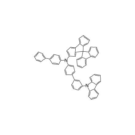 c1ccc(-c2ccc(N(c3ccc(-c4cccc(-n5c6ccccc6c6ccccc65)c4)cc3)c3ccc4c(c3)C3(c5ccccc5-c5ccccc53)c3ccccc3-4)cc2)cc1